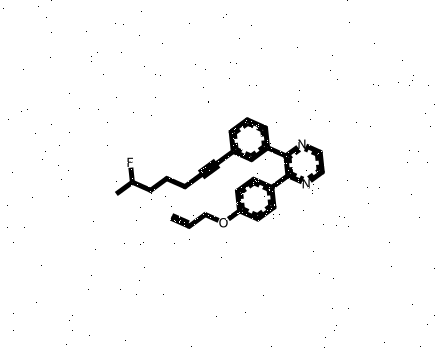 C=CCOc1ccc(-c2nccnc2-c2cccc(C#CCCCC(C)F)c2)cc1